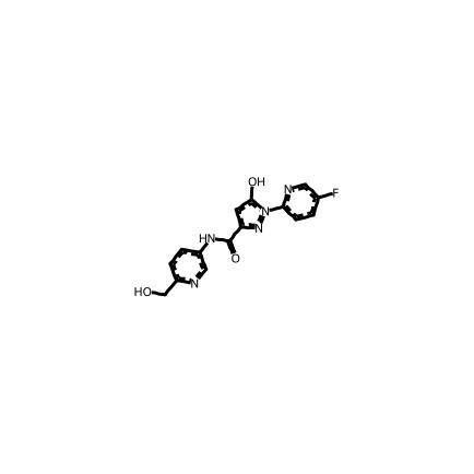 O=C(Nc1ccc(CO)nc1)c1cc(O)n(-c2ccc(F)cn2)n1